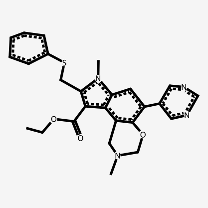 CCOC(=O)c1c(CSc2ccccc2)n(C)c2cc(-c3cncnc3)c3c(c12)CN(C)CO3